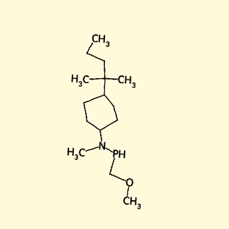 CCCC(C)(C)C1CCC(N(C)PCOC)CC1